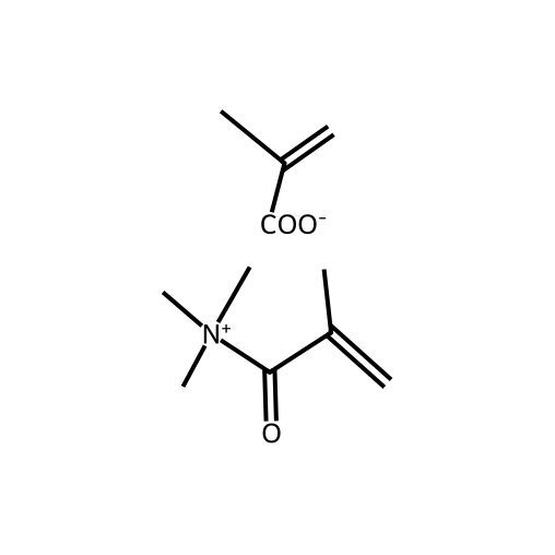 C=C(C)C(=O)[N+](C)(C)C.C=C(C)C(=O)[O-]